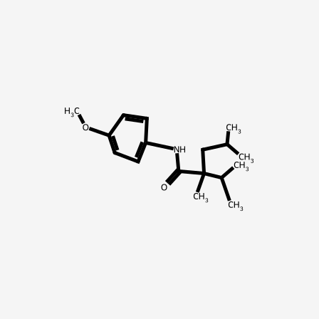 COc1ccc(NC(=O)C(C)(CC(C)C)C(C)C)cc1